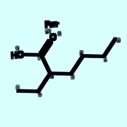 CCCCC(CC)C(=O)O.[Pm]